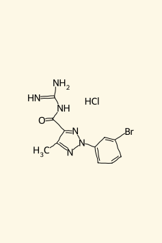 Cc1nn(-c2cccc(Br)c2)nc1C(=O)NC(=N)N.Cl